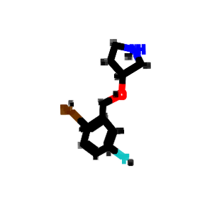 Fc1ccc(Br)c(COC2CCNC2)c1